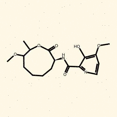 COc1ccnc(C(=O)N[C@H]2CCCCC(OC)C(C)OC2=O)c1O